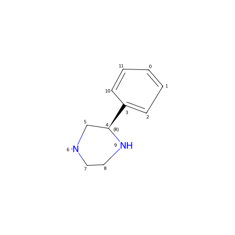 c1ccc([C@@H]2C[N]CCN2)cc1